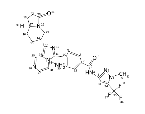 Cn1nc(NC(=O)c2ccc(C3=NC([C@@H]4CC[C@H]5CCC(=O)N5C4)=C4C=NC=C[N+]34N)cc2)cc1C(F)(F)F